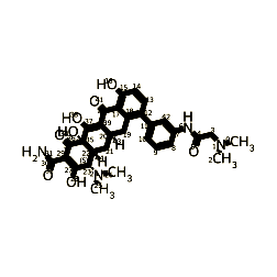 CN(C)CC(=O)Nc1cccc(-c2ccc(O)c3c2C[C@H]2C[C@H]4[C@H](N(C)C)C(O)=C(C(N)=O)C(=O)[C@@]4(O)C(O)=C2C3=O)c1